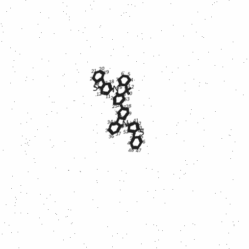 CC1(C)C2=CCCC=C2N(c2ccc3sc4c(c3c2)C=CCC4)c2ccc(-c3ccc4c(c3)c3ccccc3n4-c3ccc4sc5ccccc5c4c3)cc21